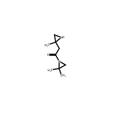 CC1(CC(=O)N2CC2(C)C)CN1